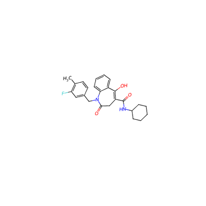 Cc1ccc(CN2C(=O)CC(C(=O)NC3CCCCC3)=C(O)c3ccccc32)cc1F